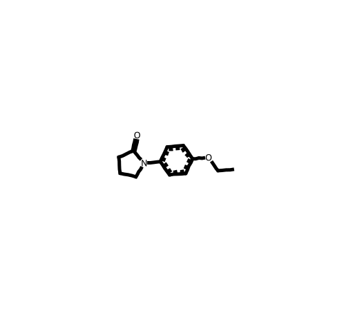 CCOc1ccc(N2CCCC2=O)cc1